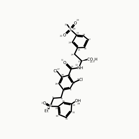 CCP(=O)(CCc1cc(Cl)c(C(=O)N[C@@H](Cc2cccc(S(C)(=O)=O)c2)C(=O)O)c(Cl)c1)c1cccc(O)c1